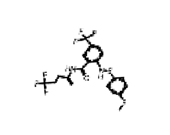 C=C(CCC(F)(F)F)NC(=O)c1cc(C(F)(F)F)ccc1NSc1ccc(SC)cc1